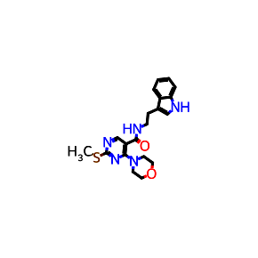 CSc1ncc(C(=O)NCCc2c[nH]c3ccccc23)c(N2CCOCC2)n1